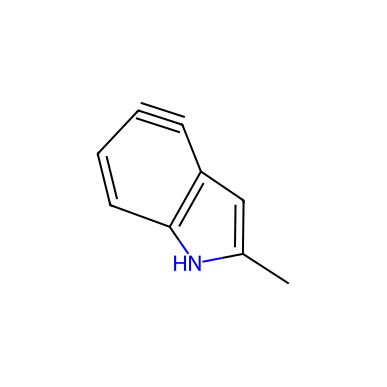 Cc1cc2c#cccc2[nH]1